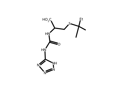 CCC(C)(C)SCC(NC(=O)Nc1nnn[nH]1)C(=O)O